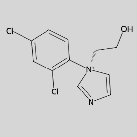 OCC[N@+]1(c2ccc(Cl)cc2Cl)C=CN=C1